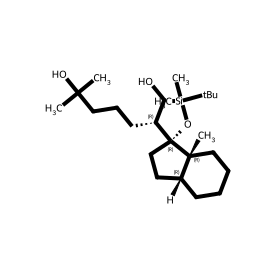 CC(C)(O)CCC[C@H](CO)[C@]1(O[Si](C)(C)C(C)(C)C)CC[C@H]2CCCC[C@]21C